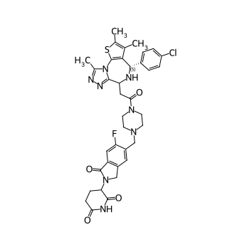 Cc1sc2c(c1C)[C@H](c1ccc(Cl)cc1)NC(CC(=O)N1CCN(Cc3cc4c(cc3F)C(=O)N(C3CCC(=O)NC3=O)C4)CC1)c1nnc(C)n1-2